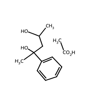 CC(=O)O.CC(O)CC(C)(O)c1ccccc1